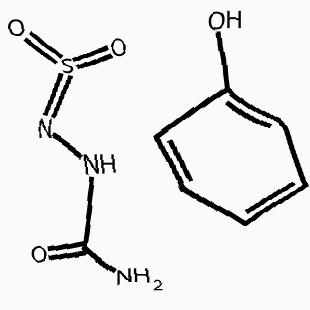 NC(=O)NN=S(=O)=O.Oc1ccccc1